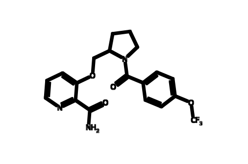 NC(=O)c1ncccc1OCC1CCCN1C(=O)c1ccc(OC(F)(F)F)cc1